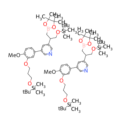 COc1ccc(-c2cncc(C(CO[Si](C)(C)C(C)(C)C)CB3OC(C)(C)C(C)(C)O3)c2)cc1OCCCO[Si](C)(C)C(C)(C)C.COc1ccc(-c2cncc(C(CO[Si](C)(C)C(C)(C)C)CB3OC(C)(C)C(C)(C)O3)c2)cc1OCCCO[Si](C)(C)C(C)(C)C